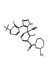 CC(C)(C)c1cccc(-c2cn[nH]c2C2(C#N)C=CC=C(C(=O)N3CCCCC(N)C3)C2F)c1F